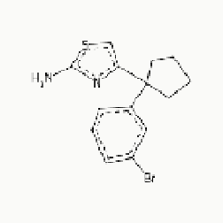 Nc1nc(C2(c3cccc(Br)c3)CCCC2)cs1